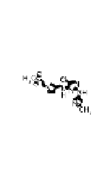 Cn1cc(Nc2ncc(Cl)c(NCC3CCN(CCS(C)(=O)=O)C3)n2)cn1